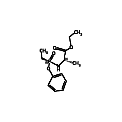 CCOC(=O)[C@H](C)N[P@](=O)(CC)Oc1ccccc1